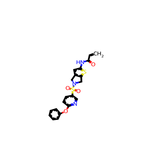 C=CC(=O)Nc1cc2c(s1)CN(S(=O)(=O)c1ccc(Oc3ccccc3)nc1)C2